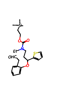 CCN(CCC(Oc1ccccc1CC=O)c1cccs1)C(=O)OCC[Si](C)(C)C